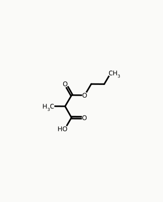 CCCOC(=O)C(C)C(=O)O